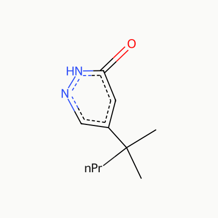 CCCC(C)(C)c1cn[nH]c(=O)c1